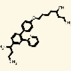 CCCC(C)CCCCOc1ccc(-c2ccc(C(C)CCC)cc2-c2ccccn2)cc1